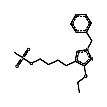 CCOc1nn(Cc2ccccc2)cc1CCCCOS(C)(=O)=O